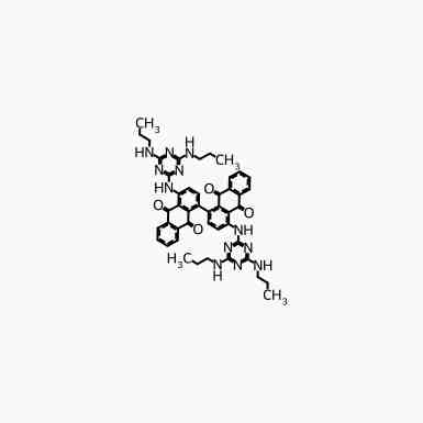 CCCNc1nc(NCCC)nc(Nc2ccc(-c3ccc(Nc4nc(NCCC)nc(NCCC)n4)c4c3C(=O)c3ccccc3C4=O)c3c2C(=O)c2ccccc2C3=O)n1